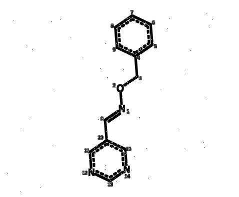 C(=NOCc1ccccc1)c1cncnc1